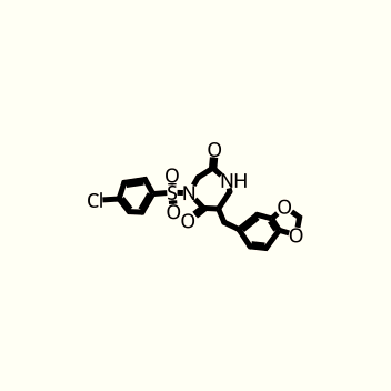 O=C1CN(S(=O)(=O)c2ccc(Cl)cc2)C(=O)C(Cc2ccc3c(c2)OCO3)CN1